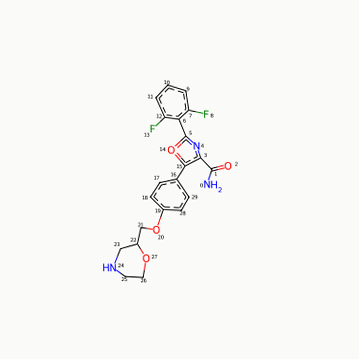 NC(=O)c1nc(-c2c(F)cccc2F)oc1-c1ccc(OCC2CNCCO2)cc1